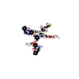 COCCOCCOCCN(CC(C)(C)SC1CC(=O)N(CCC(=O)C=S)C1=O)c1cc(COc2cc3c(cc2OC)C(=O)N2c4ccccc4C[C@H]2C=N3)cc(COc2cc3c(cc2OC)C(=O)N2c4ccccc4C[C@H]2CN3)c1